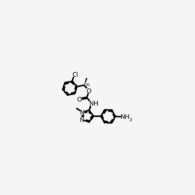 C[C@@H](OC(=O)Nc1c(-c2ccc(N)cc2)cnn1C)c1ccccc1Cl